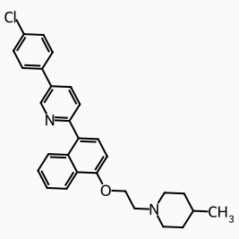 CC1CCN(CCOc2ccc(-c3ccc(-c4ccc(Cl)cc4)cn3)c3ccccc23)CC1